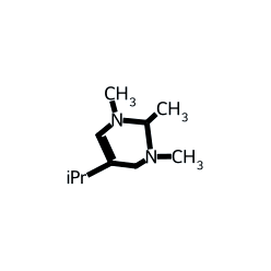 CC(C)C1=CN(C)C(C)N(C)C1